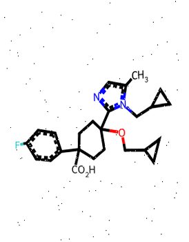 Cc1cnc(C2(OCC3CC3)CCC(C(=O)O)(c3ccc(F)cc3)CC2)n1CC1CC1